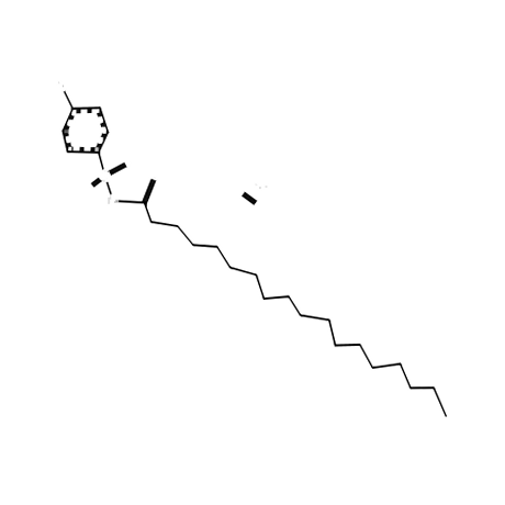 C=O.CCCCCCCCCCCCCCCCCC(=O)NS(=O)(=O)c1ccc(N)cc1.[NaH]